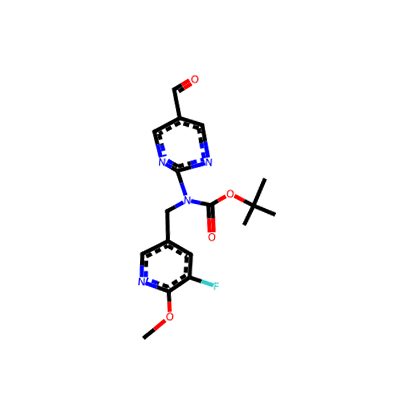 COc1ncc(CN(C(=O)OC(C)(C)C)c2ncc(C=O)cn2)cc1F